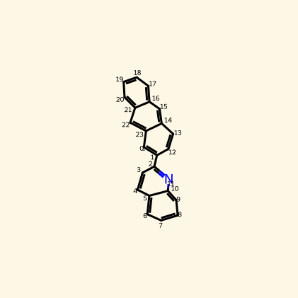 [c]1c(-c2ccc3ccccc3n2)ccc2cc3ccccc3cc12